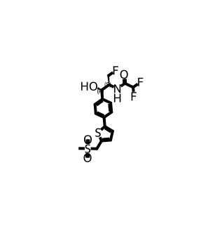 CS(=O)(=O)Cc1ccc(-c2ccc([C@@H](O)[C@@H](CF)NC(=O)C(F)F)cc2)s1